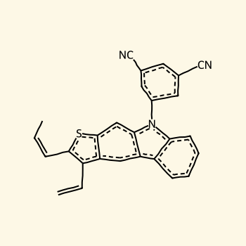 C=Cc1c(/C=C\C)sc2cc3c(cc12)c1ccccc1n3-c1cc(C#N)cc(C#N)c1